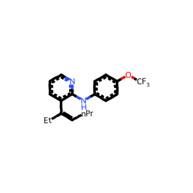 CCC/C=C(/CC)c1cccnc1Nc1ccc(OC(F)(F)F)cc1